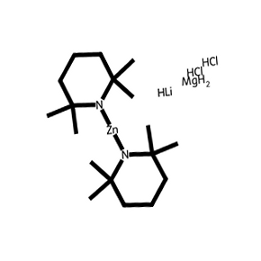 CC1(C)CCCC(C)(C)[N]1[Zn][N]1C(C)(C)CCCC1(C)C.Cl.Cl.[LiH].[MgH2]